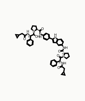 O=C(CC1CC1)N[C@H](c1ccccc1)C(O)N1CCC[C@H]1C(=O)Nc1ccc(-c2cc3cc(NC(=O)[C@@H]4CCCN4C(=O)[C@H](NC(=O)CC4CC4)c4ccccc4)ccc3[nH]2)cc1